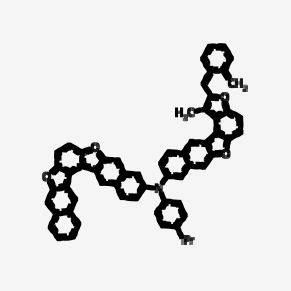 C=c1cccc/c1=C/c1oc2ccc3oc4cc5cc(N(c6ccc(C(C)C)cc6)c6ccc7cc8c(cc7c6)oc6ccc7oc9cc%10ccccc%10cc9c7c68)ccc5cc4c3c2c1C